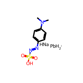 CN(C)c1ccc(/N=N/S(=O)(=O)O)cc1.[NaH].[PbH2]